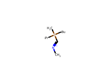 CCC(C)S(C)(/C=N/C)C(C)C